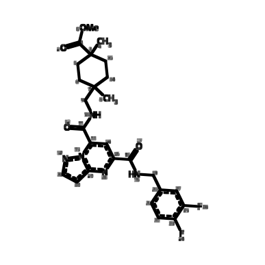 COC(=O)C1(C)CCC(C)(CNC(=O)c2cc(C(=O)NCc3ccc(F)c(F)c3)nc3ccnn23)CC1